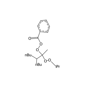 CCCCC(CCCC)C(C)(OOC(=O)c1ccccc1)OOC(C)C